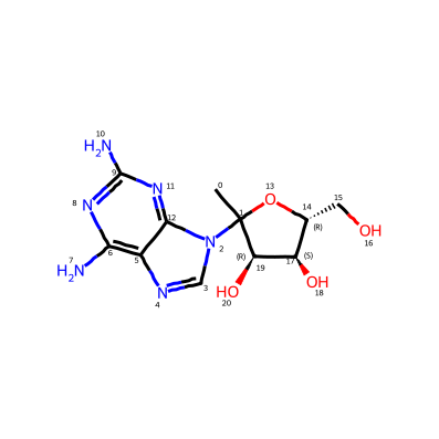 CC1(n2cnc3c(N)nc(N)nc32)O[C@H](CO)[C@@H](O)[C@H]1O